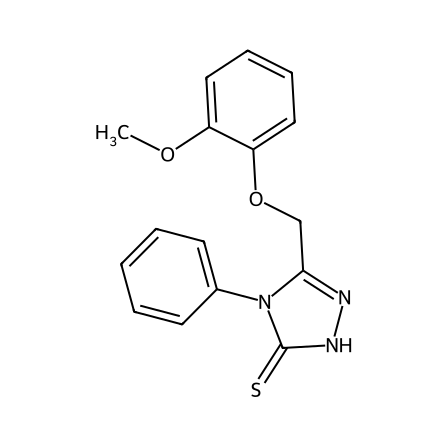 COc1ccccc1OCc1n[nH]c(=S)n1-c1ccccc1